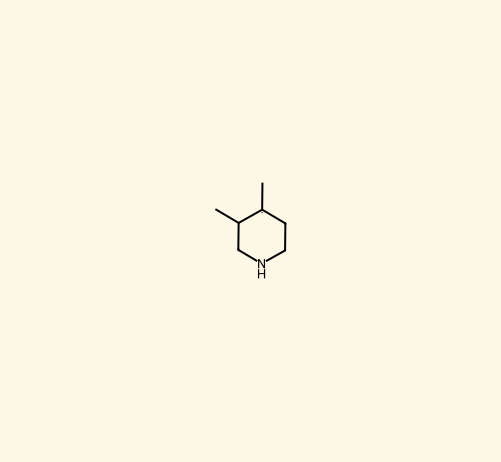 C[C]1CCNCC1C